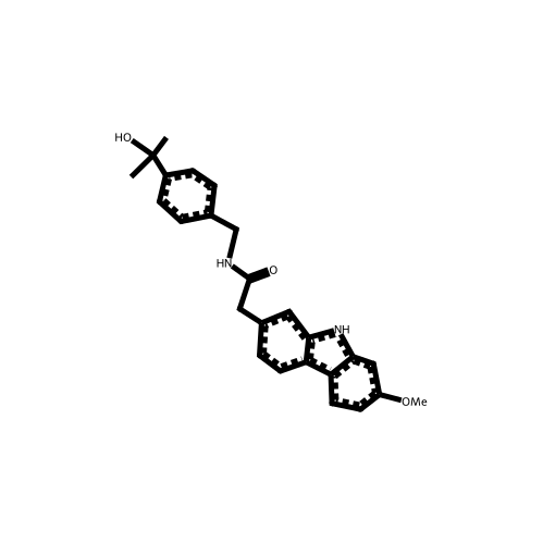 COc1ccc2c(c1)[nH]c1cc(CC(=O)NCc3ccc(C(C)(C)O)cc3)ccc12